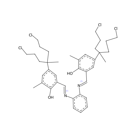 Cc1cc(C(C)(CCCCl)CCCCl)cc(/C=N/c2ccccc2/N=C/c2cc(C(C)(CCCCl)CCCCl)cc(C)c2O)c1O